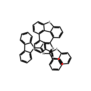 c1ccc(-c2nc(-c3cccc4sc5cccc(-c6cccc(-c7nc8ccccc8s7)c6)c5c34)nc(-n3c4ccccc4c4ccccc43)n2)cc1